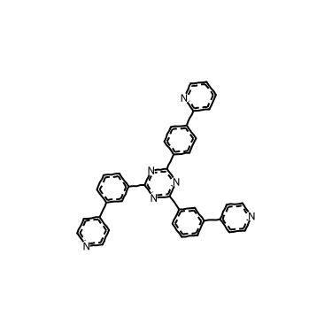 c1ccc(-c2ccc(-c3nc(-c4cccc(-c5ccncc5)c4)nc(-c4cccc(-c5ccncc5)c4)n3)cc2)nc1